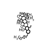 COC1CN(Cc2ccc3c(F)c4c(c(O)c3c2)C(=O)C2=C(O)[C@]3(O)C(=O)C(C(N)=O)=C(O)[C@@H](N(C)C)[C@@H]3C[C@@H]2C4)C1